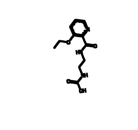 CCOc1cccnc1C(=O)NCCNC(=O)O